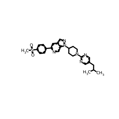 CC(C)Cc1cnc(N2CCC(n3ncc4cc(-c5ccc(S(C)(=O)=O)cc5)ncc43)CC2)nc1